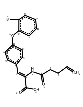 C=CCCC(=O)N/C(=C\c1ccc(Oc2ccccc2Br)cc1)C(=O)O